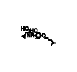 CC(C)CCCCOc1ccc(CCC(N)(CO)CC2CC2)c(O)c1